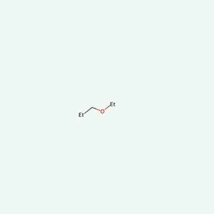 [CH2]CCOC[CH2]